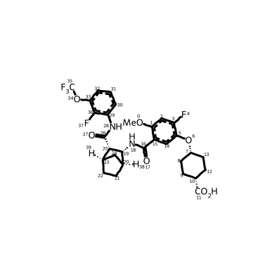 COc1cc(F)c(O[C@H]2CC[C@@H](C(=O)O)CC2)cc1C(=O)N[C@@H]1[C@H]2CC[C@H](C2)[C@@H]1C(=O)Nc1cccc(OC(F)(F)F)c1F